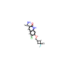 CCC1(F)CC(COc2cc3[nH]c(=O)c(C(C)N)cc3cc2Cl)C1